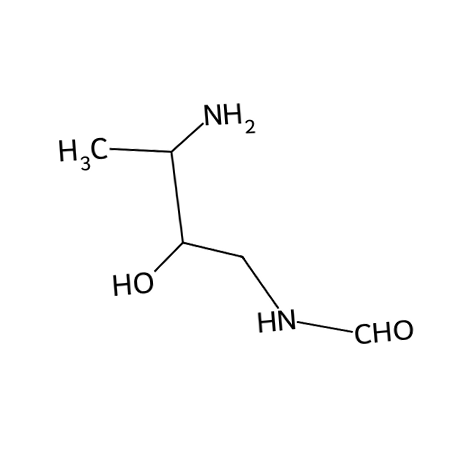 CC(N)C(O)CNC=O